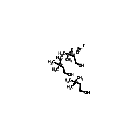 C[N+](C)(C)CCO.C[N+](C)(C)CCO.C[N+](C)(C)CCO.[Br-].[Cl-].[I-]